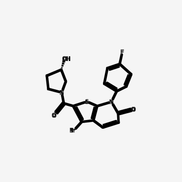 O=C(c1sc2c(ccc(=O)n2-c2ccc(F)cc2)c1Br)N1CC[C@H](O)C1